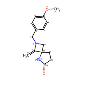 C=C1N(Cc2ccc(OC)cc2)CC12CCC(=O)N2